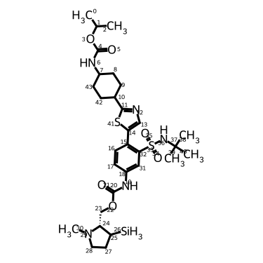 CC(C)OC(=O)NC1CCC(c2ncc(-c3ccc(NC(=O)OC[C@@H]4C([SiH3])CCN4C)cc3S(=O)(=O)NC(C)(C)C)s2)CC1